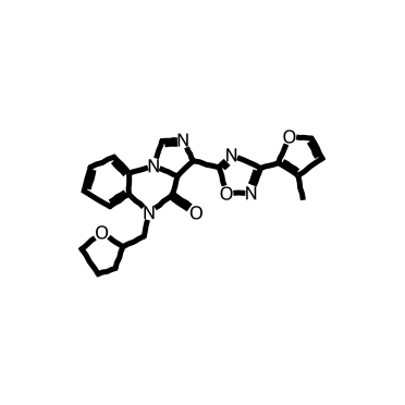 Cc1ccoc1-c1noc(C2N=CN3c4ccccc4N(CC4CCCO4)C(=O)C23)n1